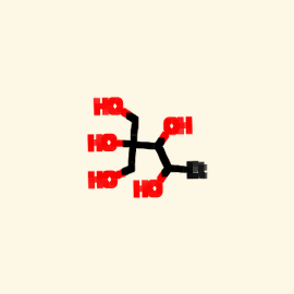 CCC(O)C(O)C(O)(CO)CO